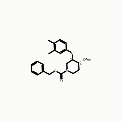 CO[C@@H]1CCN(C(=O)OCc2ccccc2)C[C@H]1Oc1ccc(C)c(C)c1